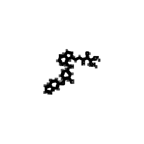 NC(C(=O)NCCn1ccc2ncnc(Nc3ccc(Oc4ccc5ccnn5c4)c(Cl)c3)c21)C(F)(F)F